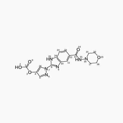 O=C(O)Oc1cnn(-c2nc3cc(C(=O)NN4CCOCC4)ccc3[nH]2)c1